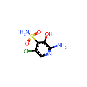 Nc1ncc(Cl)c(S(N)(=O)=O)c1O